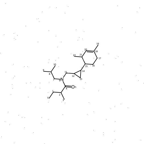 CCC(C)C(=O)N(CC(C)C)CC1CC1C1CCC(C)=CC1C